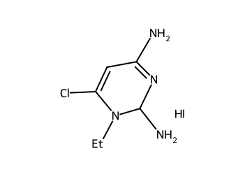 CCN1C(Cl)=CC(N)=NC1N.I